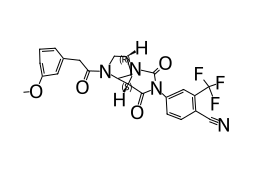 COc1cccc(CC(=O)N2C[C@H]3CC2[C@H]2C(=O)N(c4ccc(C#N)c(C(F)(F)F)c4)C(=O)N32)c1